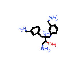 NCc1cccc(CC(N)(Cc2cccc(CN)c2)C(O)CN)c1